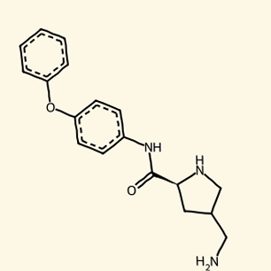 NCC1CN[C@H](C(=O)Nc2ccc(Oc3ccccc3)cc2)C1